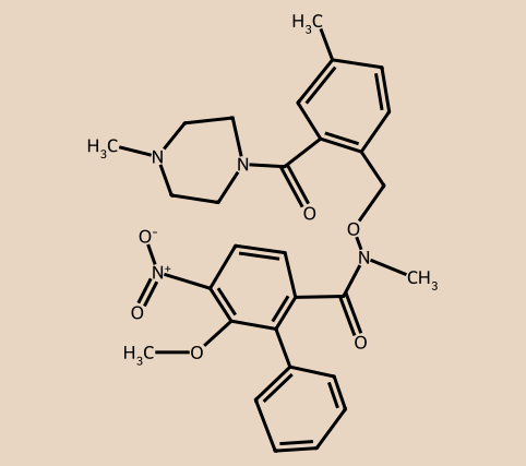 COc1c([N+](=O)[O-])ccc(C(=O)N(C)OCc2ccc(C)cc2C(=O)N2CCN(C)CC2)c1-c1ccccc1